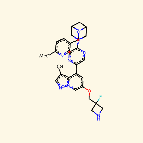 COc1ccc(CN2C3CC2CN(c2cnc(-c4cc(OCC5(F)CNC5)cn5ncc(C#N)c45)cn2)C3)cn1